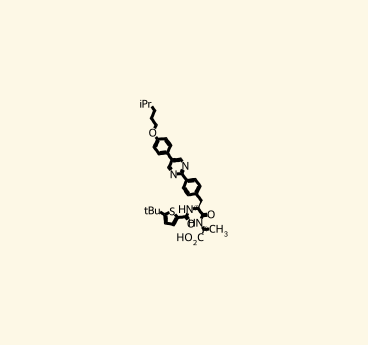 CC(C)CCCOc1ccc(-c2cnc(-c3ccc(C[C@H](NC(=O)c4ccc(C(C)(C)C)s4)C(=O)N[C@H](C)C(=O)O)cc3)nc2)cc1